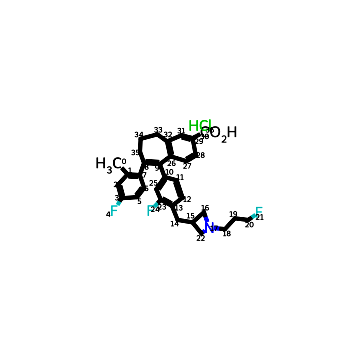 Cc1cc(F)ccc1C1=C(c2ccc(CC3CN(CCCF)C3)c(F)c2)c2ccc(C(=O)O)cc2CCC1.Cl